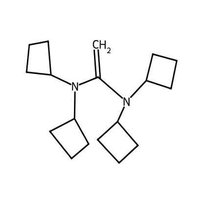 C=C(N(C1CCC1)C1CCC1)N(C1CCC1)C1CCC1